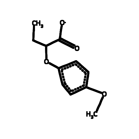 CCC(Oc1ccc(OC)cc1)C([O])=O